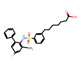 Cc1cc(F)cc(-c2ccccc2)c1NS(=O)(=O)c1cccc(CCCCCCC(=O)O)c1